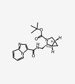 CC(C)(C)OC(=O)N1C[C@@H]2C[C@@H]2[C@H]1CNC(=O)c1cnc2ccccn12